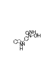 NC(=O)N(CCO)c1ccc(-c2n[nH]c3c2Cc2ccccc2-3)cc1